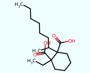 CCCCCCC(C)C1(C(=O)O)CCCCC1(CC)C(=O)O